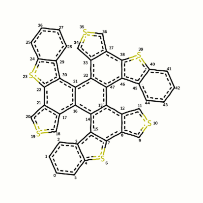 c1ccc2c(c1)sc1c3cscc3c3c(c21)c1c2cscc2c2sc4ccccc4c2c1c1c2cscc2c2sc4ccccc4c2c31